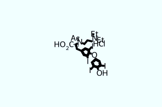 CCN(CC)CCCN(C(C)=O)[C@H](Cc1cc(I)c(Oc2cc(I)c(O)c(I)c2)c(I)c1)C(=O)O.Cl